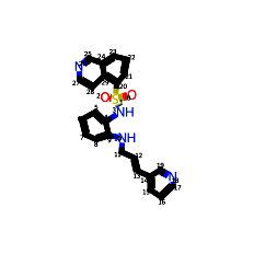 O=S(=O)(Nc1ccccc1NC/C=C/c1cccnc1)c1cccc2cnccc12